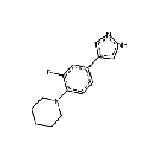 Fc1cc(-c2cn[nH]c2)ccc1N1CCCCC1